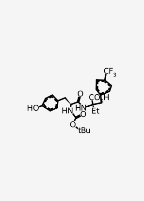 CC[C@@](Cc1ccc(C(F)(F)F)cc1)(NC(=O)[C@H](Cc1ccc(O)cc1)NC(=O)OC(C)(C)C)C(=O)O